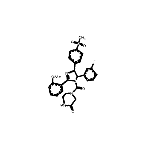 COc1ccccc1C1=NC(c2ccc(S(C)(=O)=O)cc2)C(c2cccc(F)c2)N1C(=O)N1CCNC(=O)C1